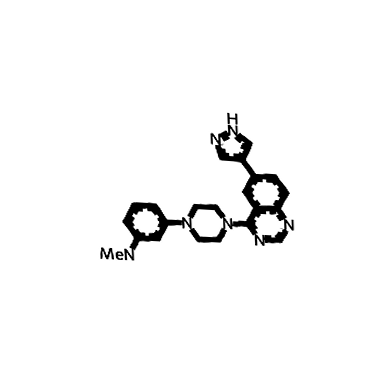 CNc1cccc(N2CCN(c3ncnc4ccc(-c5cn[nH]c5)cc34)CC2)c1